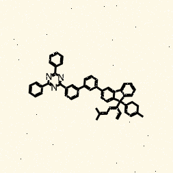 C=C/C(=C\C=C(C)C)C1(C2=CC=C(C)CC2)c2ccccc2-c2cc(-c3cccc(-c4cccc(-c5nc(-c6ccccc6)nc(-c6ccccc6)n5)c4)c3)ccc21